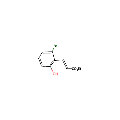 CCOC(=O)/C=C/c1c(O)cccc1Br